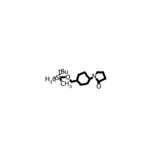 CC(C)(C)[Si](C)(C)OCC1CCC(N2CCCC2=O)CC1